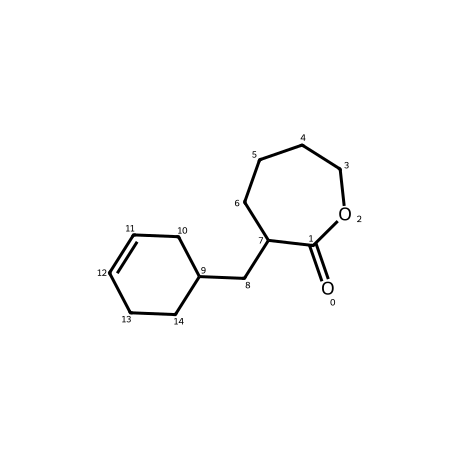 O=C1OCCCCC1CC1CC=CCC1